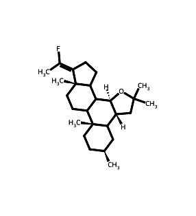 C/C(F)=C1/CCC2C3C(CC[C@]12C)[C@@]1(C)CC[C@H](C)CC1[C@H]1CC(C)(C)O[C@H]31